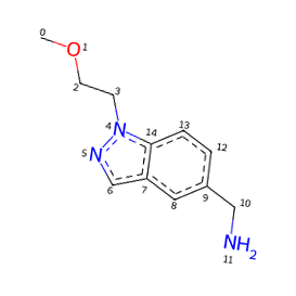 COCCn1ncc2cc(CN)ccc21